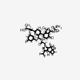 C[C@@H](O)C#Cc1ccc(-c2ccc(Cl)c3c(NS(C)(=O)=O)nn(C)c23)c([C@H](Cc2cc(F)cc(F)c2)NC(=O)Cn2nc(C(F)F)c3c2C(F)(F)[C@@H]2CC[C@H]32)n1